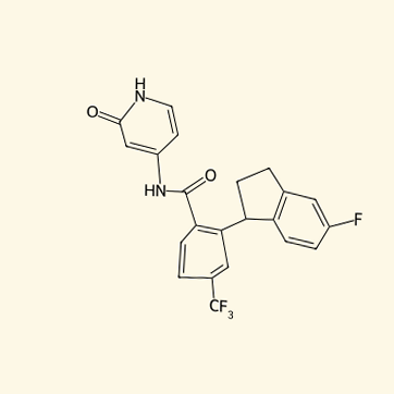 O=C(Nc1cc[nH]c(=O)c1)c1ccc(C(F)(F)F)cc1C1CCc2cc(F)ccc21